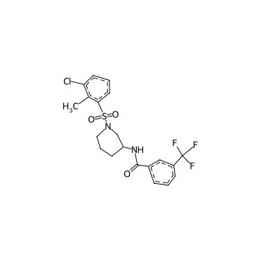 Cc1c(Cl)cccc1S(=O)(=O)N1CCCC(NC(=O)c2cccc(C(F)(F)F)c2)C1